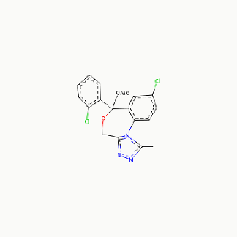 COC1(c2ccccc2Cl)OCc2nnc(C)n2-c2ccc(Cl)cc21